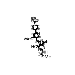 COC(=O)Nc1nc(O)c2c(n1)c(I)nn2Cc1cnc(C2=CCN(C(=O)OC(C)(C)C)CC2)cc1OC